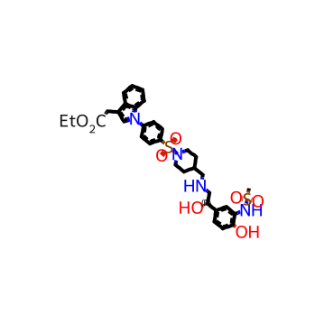 CCOC(=O)Cc1cn(-c2ccc(S(=O)(=O)N3CCC(CNC[C@H](O)c4ccc(O)c(NS(C)(=O)=O)c4)CC3)cc2)c2ccccc12